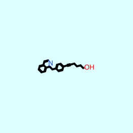 OCCCCC#Cc1ccc(Cc2nccc3ccccc23)cc1